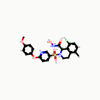 COc1ccc(Oc2ccc(S(=O)(=O)N3CCc4c(C)ccc(F)c4C3C(=O)NO)cn2)cc1